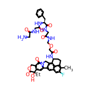 CC[C@@]1(O)C(=O)OCc2c1cc1n(c2=O)Cc2c-1cc1cc(F)c(C)c3c1c2[C@@H](NC(=O)COCNC(=O)CNC(=O)[C@H](Cc1ccccc1)NC(=O)CNC(=O)CN)CC3